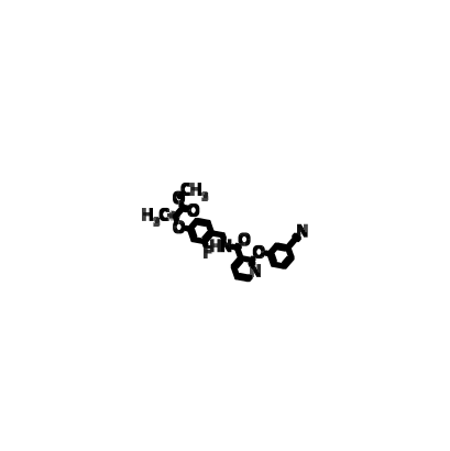 COC(=O)[C@@H](C)Oc1ccc(CNC(=O)c2cccnc2Oc2cccc(C#N)c2)c(F)c1